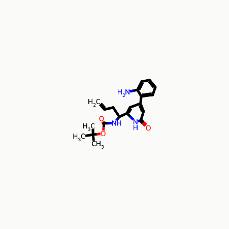 C=CCC(NC(=O)OC(C)(C)C)c1cc(-c2ccccc2N)cc(=O)[nH]1